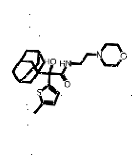 Cc1ccc(C(O)(C(=O)NCCN2CCOCC2)C23CC4CC(CC(C4)C2)C3)s1